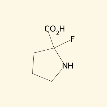 O=C(O)C1(F)CCCN1